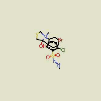 CN=NS(=O)(=O)c1cc(C2(O)CSC[N+]2(C)C2CCCCC2)ccc1Cl.[Br-]